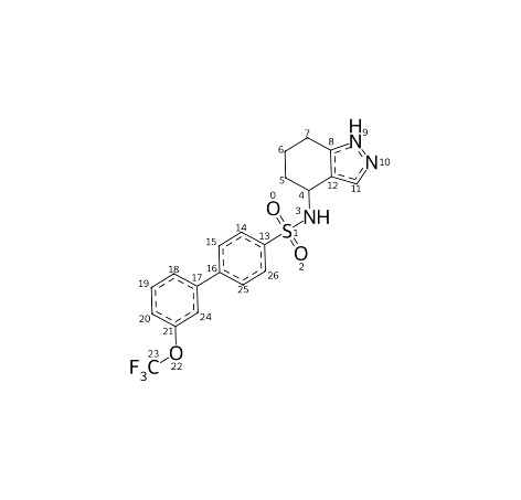 O=S(=O)(NC1CCCc2[nH]ncc21)c1ccc(-c2cccc(OC(F)(F)F)c2)cc1